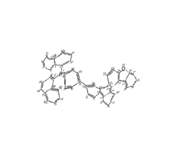 c1ccc2c(N(c3ccc(-c4ccc5c6ccccc6c6c(ccc7oc8ccccc8c76)c5c4)cc3)c3cccc4ccccc34)cccc2c1